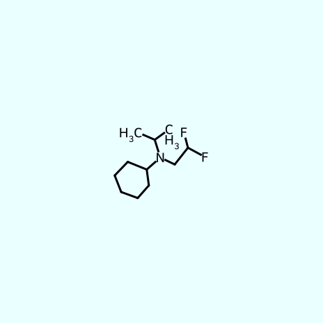 CC(C)N(CC(F)F)C1CCCCC1